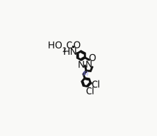 O=C(O)C(=O)Nc1ccc2c(=O)n3c(nc2c1)/C(=C/c1ccc(Cl)c(Cl)c1)CC3